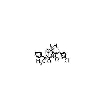 COC(=O)[C@@H]1[C@@H](Cc2ccc(Cl)s2)C(=O)N1C(=O)N[C@H](C)c1ccccc1